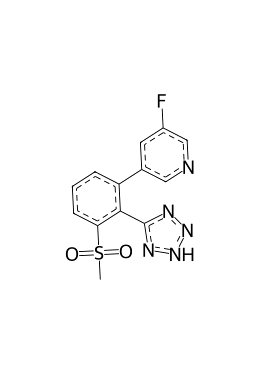 CS(=O)(=O)c1cccc(-c2cncc(F)c2)c1-c1nn[nH]n1